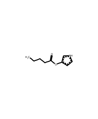 CCCCC(=O)Oc1cc[nH]c1